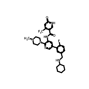 CN1CCN(c2ncc(-c3cc(CNC4CCCCC4)ccc3F)cc2NC(=O)c2c[nH]c(=O)cc2C(F)(F)F)CC1